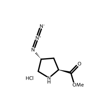 COC(=O)[C@@H]1C[C@@H](N=[N+]=[N-])CN1.Cl